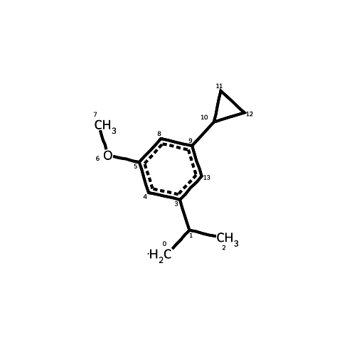 [CH2]C(C)c1cc(OC)cc(C2CC2)c1